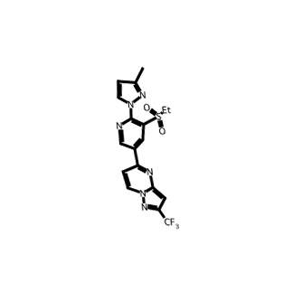 CCS(=O)(=O)c1cc(-c2ccn3nc(C(F)(F)F)cc3n2)cnc1-n1ccc(C)n1